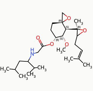 CO[C@@H]1[C@H](OC(=O)CNC(CC(C)C)C(C)C)CC[C@]2(CO2)[C@H]1[C@@]1(C)OC1CC=C(C)C